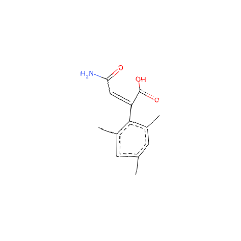 Cc1cc(C)c(/C(=C/C(N)=O)C(=O)O)c(C)c1